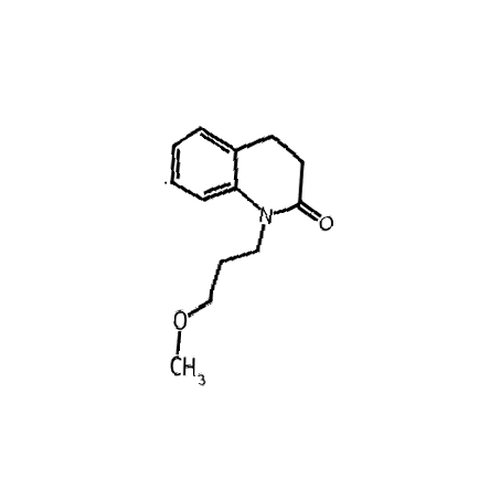 COCCCN1C(=O)CCc2cc[c]cc21